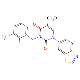 CCOC(=O)c1cn(-c2ccc3ncsc3c2)c(=O)n(Cc2cccc(C(F)(F)F)c2C)c1=O